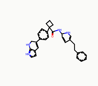 O=C(NC1C=CC(CCc2ccccc2)=CN1)C1(c2ccc(C3=Cc4cc[nH]c4NC3)cc2)CCC1